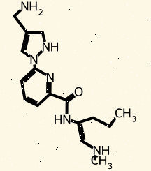 CCC/C(=C\NC)NC(=O)c1cccc(N2C=C(CN)CN2)n1